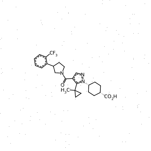 CC1(c2c(C(=O)N3CCC(c4ccccc4C(F)(F)F)C3)cnn2[C@H]2CC[C@@H](C(=O)O)CC2)CC1